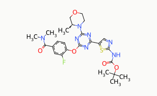 C[C@H]1COCCN1c1nc(Oc2ccc(C(=O)N(C)C)cc2F)nc(-c2cnc(NC(=O)OC(C)(C)C)s2)n1